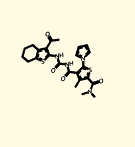 CC(=O)c1c(NC(=O)NC(=O)c2c(-n3cccc3)sc(C(=O)N(C)C)c2C)sc2c1CCCC2